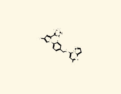 CCc1cc(NCc2ccc(-n3cc(Br)cc3-c3nnn[nH]3)cc2)n2nccc2n1